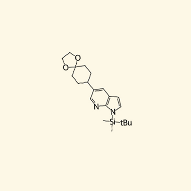 CC(C)(C)[Si](C)(C)n1ccc2cc(C3CCC4(CC3)OCCO4)cnc21